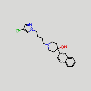 OC1(c2ccc3ccccc3c2)CCN(CCCCn2cc(Cl)cn2)CC1